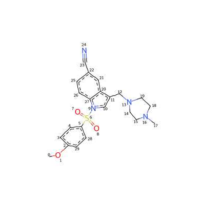 COc1ccc(S(=O)(=O)n2cc(CN3CCN(C)CC3)c3cc(C#N)ccc32)cc1